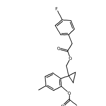 CC(=O)Oc1cc(C)ccc1C1(COC(=O)Cc2ccc(F)cc2)CC1